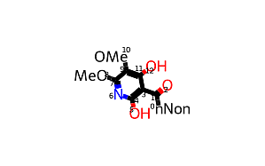 CCCCCCCCCC(=O)c1c(O)nc(OC)c(OC)c1O